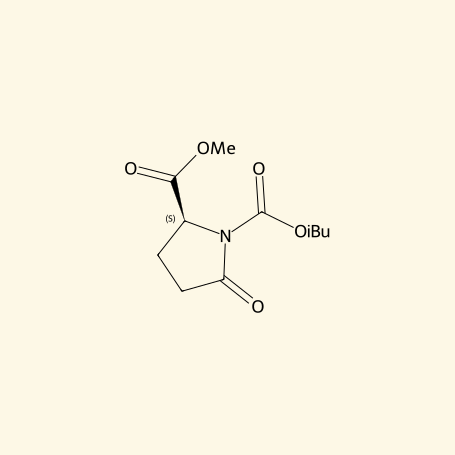 COC(=O)[C@@H]1CCC(=O)N1C(=O)OCC(C)C